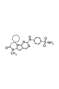 CN1C(=O)CC2(CCCCC2)n2c1cc1cnc(Nc3ccc(S(N)(=O)=O)cc3)nc12